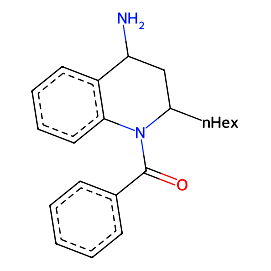 CCCCCCC1CC(N)c2ccccc2N1C(=O)c1ccccc1